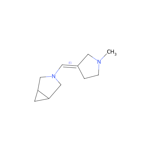 CN1CC/C(=C\N2CC3CC3C2)C1